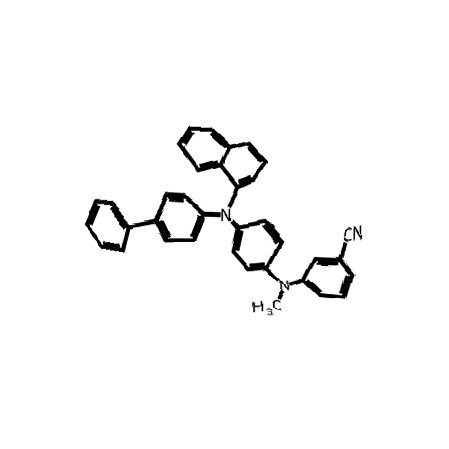 CN(c1ccc(N(c2ccc(-c3ccccc3)cc2)c2cccc3ccccc23)cc1)c1cccc(C#N)c1